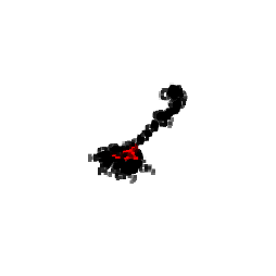 CC[C@@]1(OC(=O)[C@@H](NC(=O)[C@@H]2CCCN2C(=O)[C@H](CC(=O)O)NC(=O)CCOCCOCCOCCNC(=O)CCCC(=O)ON2C(=O)CCC2=O)C(C)C)C(=O)OCc2c1cc1n(c2=O)Cc2c-1nc1cc(F)c(C)c3c1c2[C@@H](N(C)C)CC3